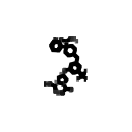 CN(C)C1(c2ccccc2)CCC(Cc2cc(O[C@H]3C[C@@H](C(=O)O)N(C(=O)O)C3)cc(C(F)(F)F)c2)CC1